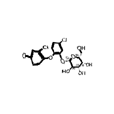 OC[C@H]1O[C@@H](Oc2cc(Cl)ccc2Oc2ccc(Cl)cc2Cl)[C@H](O)[C@@H](O)[C@H]1O